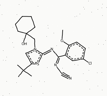 COc1ccc(Cl)cc1C(/N=c1\sc(C(C)(C)C)cn1CC1(O)CCCCC1)=N\C#N